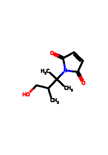 CC(CO)C(C)(C)N1C(=O)C=CC1=O